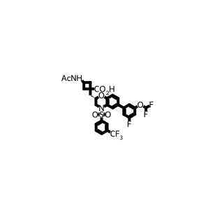 CC(=O)NC1CC(C[C@H]2CN(S(=O)(=O)c3cccc(C(F)(F)F)c3)c3cc(-c4cc(F)cc(OC(F)F)c4)ccc3O2)(C(=O)O)C1